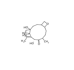 CC1=C2[C@@H](O)C(=O)C(C)CCC3OCC3CCC(O)(CC1)C2(C)C